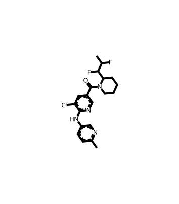 Cc1ccc(Nc2ncc(C(=O)N3CCCCC3C(F)C(C)F)cc2Cl)cn1